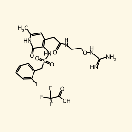 Cc1cc(CC(=O)NCCONC(=N)N)c(NS(=O)(=O)Cc2ccccc2I)c(=O)[nH]1.O=C(O)C(F)(F)F